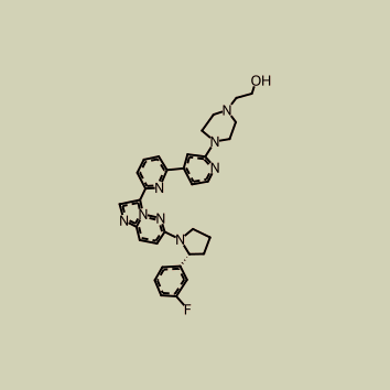 OCCN1CCN(c2cc(-c3cccc(-c4cnc5ccc(N6CCC[C@@H]6c6cccc(F)c6)nn45)n3)ccn2)CC1